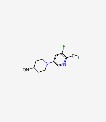 Cc1ncc(N2CCC(N=O)CC2)cc1F